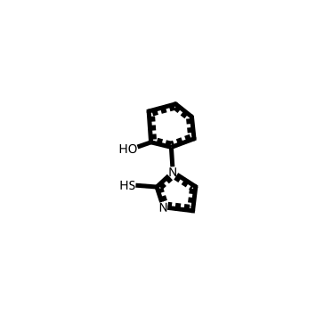 Oc1ccccc1-n1ccnc1S